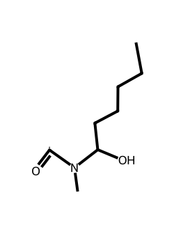 CCCCCC(O)N(C)[C]=O